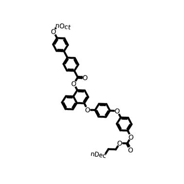 CCCCCCCCCCCCOC(=O)Oc1ccc(Oc2ccc(Oc3ccc(OC(=O)c4ccc(-c5ccc(OCCCCCCCC)cc5)cc4)c4ccccc34)cc2)cc1